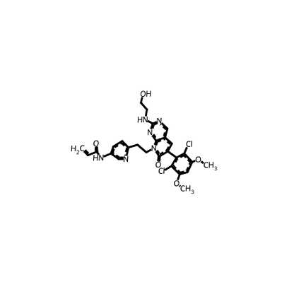 C=CC(=O)Nc1ccc(CCn2c(=O)c(-c3c(Cl)c(OC)cc(OC)c3Cl)cc3cnc(NCCO)nc32)nc1